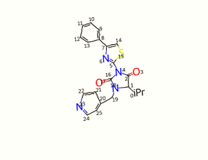 CC(C)C1C(=O)N(c2nc(-c3ccccc3)cs2)C(=O)N1Cc1ccncc1